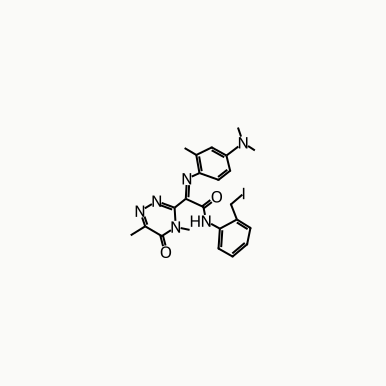 Cc1cc(N(C)C)ccc1/N=C(\C(=O)Nc1ccccc1CI)c1nnc(C)c(=O)n1C